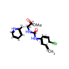 C=C/C=C(\C=C/CBr)NC(=O)N[C@H](Cc1ccccn1)C(=O)OC